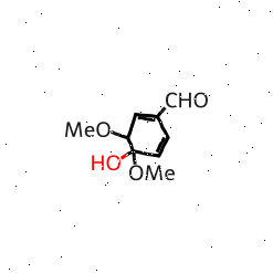 COC1C=C(C=O)C=CC1(O)OC